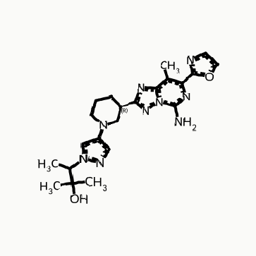 Cc1c(-c2ncco2)nc(N)n2nc([C@@H]3CCCN(c4cnn(C(C)C(C)(C)O)c4)C3)nc12